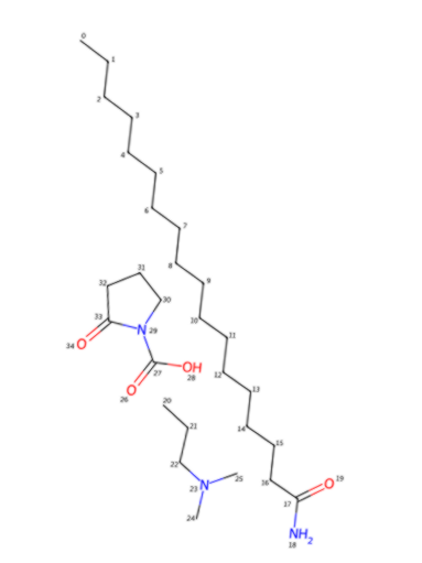 CCCCCCCCCCCCCCCCCC(N)=O.CCCN(C)C.O=C(O)N1CCCC1=O